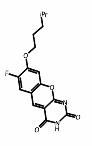 CC(C)CCCOc1cc2oc3nc(=O)[nH]c(=O)c-3cc2cc1F